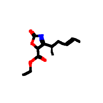 C/C=C/C[C@H](C)C1=NC(=O)OC1C(=O)OCC